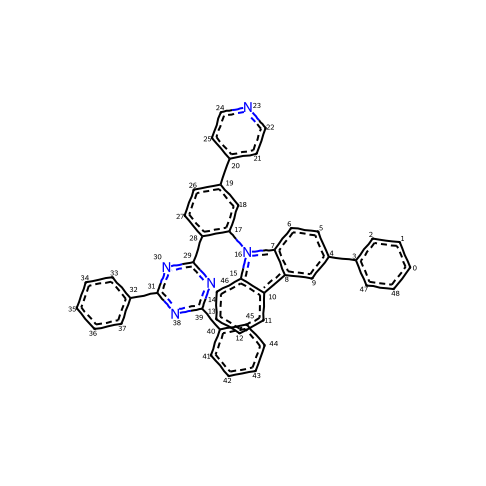 c1ccc(-c2ccc3c(c2)c2ccccc2n3-c2cc(-c3ccncc3)ccc2-c2nc(-c3ccccc3)nc(-c3ccccc3)n2)cc1